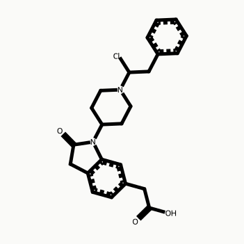 O=C(O)Cc1ccc2c(c1)N(C1CCN(C(Cl)Cc3ccccc3)CC1)C(=O)C2